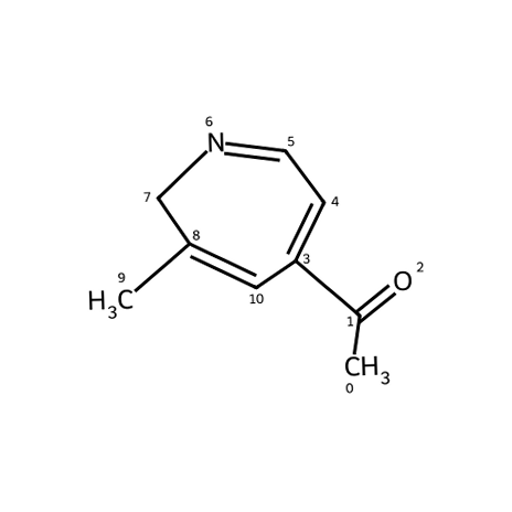 CC(=O)C1=CC=NCC(C)=C1